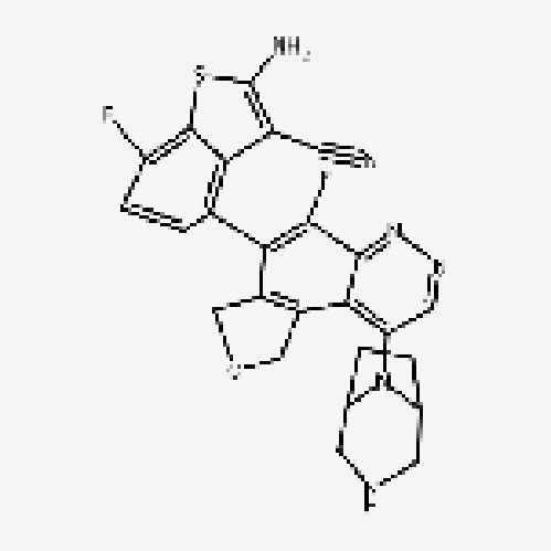 N#Cc1c(N)sc2c(F)ccc(-c3c4c(c5c(N6C7CCC6CNC7)cnnc5c3F)COC4)c12